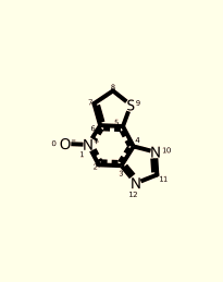 [O-][n+]1cc2c(c3c1=CCS3)N=CN=2